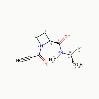 C#CC(=O)N1CC[C@H]1C(=O)N(C)[C@H](C(=O)O)C(C)C